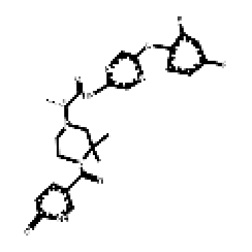 C[C@H](C(=O)Nc1cnc(Oc2ccc(F)cc2F)cn1)N1CCN(C(=O)c2ccc(=O)[nH]c2)C(C)(C)C1